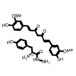 COc1cc(C=CC(=O)CC(=O)C=Cc2ccc(O)c(OC)c2)ccc1O.NNC(=O)[C@@H](N)Cc1ccc(O)cc1